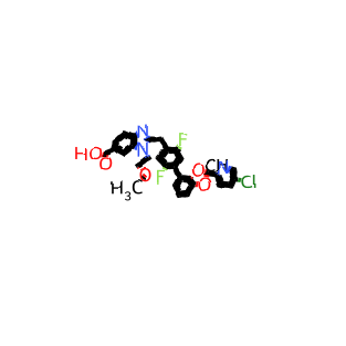 COCCn1c(Cc2cc(F)c(-c3cccc4c3OC(C)(c3ccc(Cl)cn3)O4)cc2F)nc2ccc(C(=O)O)cc21